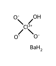 [BaH2].[O-][Cl+3]([O-])([O-])O